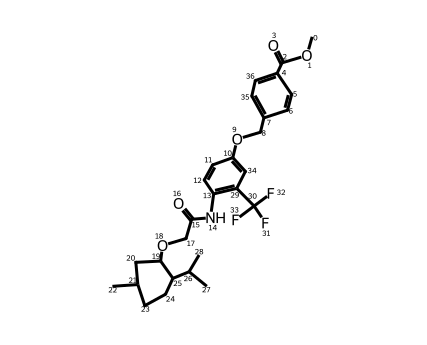 COC(=O)c1ccc(COc2ccc(NC(=O)COC3CC(C)CCC3C(C)C)c(C(F)(F)F)c2)cc1